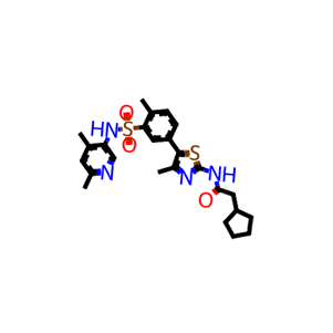 Cc1cc(C)c(NS(=O)(=O)c2cc(-c3sc(NC(=O)CC4CCCC4)nc3C)ccc2C)cn1